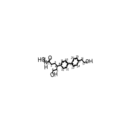 O=C(CCC(CCO)c1ccc(-c2ccc(CCO)cc2)cc1)NO